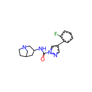 O=C(NC1CC2CCN(C2)C1)n1cc(-c2ccccc2F)cn1